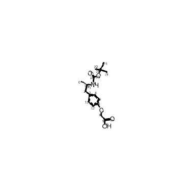 C[C@H](Cc1ccc(OCC(=O)O)cc1)NC(=O)OC(C)(C)C